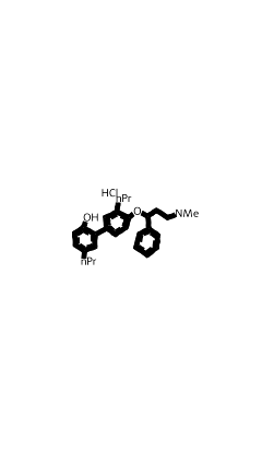 CCCc1ccc(O)c(-c2ccc(OC(CCNC)c3ccccc3)c(CCC)c2)c1.Cl